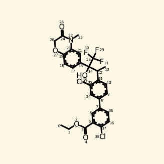 CCOC(=O)c1cc(-c2ccc(C(C)C(O)(c3ccc4c(c3)N(C)C(=O)CO4)C(F)(F)F)c(Cl)c2)ccc1Cl